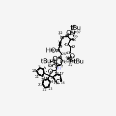 C[C@H](/C=C/COC(c1ccccc1)(c1ccccc1)c1ccccc1)[C@H](C[C@H](O)C#C[C@H](C)[C@H](O[Si](C)(C)C(C)(C)C)[C@@H](C)CCCO[Si](C)(C)C(C)(C)C)O[Si](C)(C)C(C)(C)C